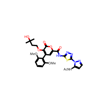 COc1cccc(OC)c1-c1cc(C(=O)Nc2nnc(-n3nccc3NC(C)=O)s2)oc(=O)c1OCCC(C)(C)O